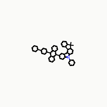 CC1(C)c2ccccc2-c2c1ccc1c2c2cc(-c3c4ccccc4c(-c4ccc(-c5ccccc5)cc4)c4ccccc34)ccc2n1-c1ccccc1